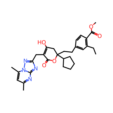 CCc1cc(CCC2(C3CCCC3)CC(O)=C(Cc3nc4nc(C)cc(C)n4n3)C(=O)O2)ccc1C(=O)OC